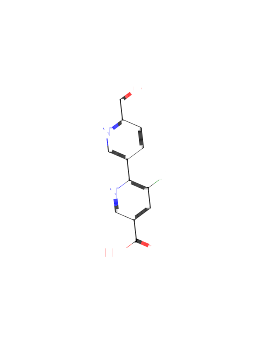 O=Cc1ccc(-c2ncc(C(=O)O)cc2Cl)cn1